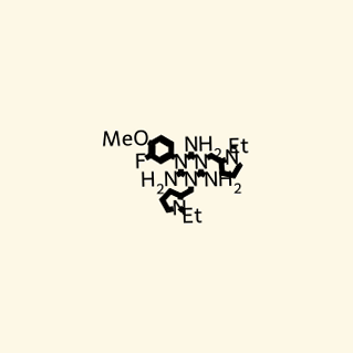 CCN1CCCC1CN1C(N)N(CC2CCCN2CC)C(N)N(c2ccc(OC)c(F)c2)C1N